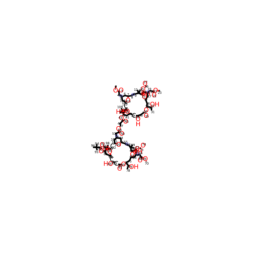 COC(=O)/C=C1\CC2/C=C/C(C)(C)C3(O)OC(C/C(=C\C(=O)OC)C3OC=O)CC(C(C)O)OC(=O)CC(O)CC3CC(OC(=O)CCOC(=O)/C=C4\CC5/C=C/C(C)(C)C6(O)OC(C/C(=C\C(=O)OC)C6OC=O)CC(C(C)O)OC(=O)CC(O)CC6CC(OC(=O)C(C)(C)C)C(C)(C)C(O)(CC(C4)O5)O6)C(C)(C)C(O)(CC(C1)O2)O3